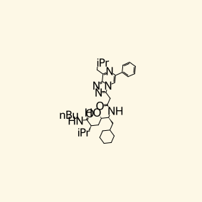 CCCCNC(=O)[C@@H](C[C@H](O)[C@H](CC1CCCCC1)NC(=O)Cc1nnc2c(CC(C)C)nc(-c3ccccc3)cn12)C(C)C